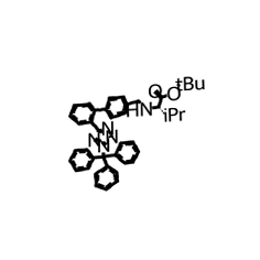 CC(C)[C@H](NCc1ccc(-c2ccccc2-c2nnn(C(c3ccccc3)(c3ccccc3)c3ccccc3)n2)cc1)C(=O)OC(C)(C)C